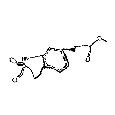 COC(=O)Cc1ccc2c(c1)NS(=O)(=O)C2